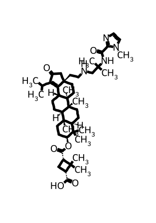 CC(C)C1=C2[C@H]3CC[C@@H]4[C@@]5(C)CC[C@H](OC(=O)[C@H]6C[C@@H](C(=O)O)C6(C)C)C(C)(C)[C@@H]5CC[C@@]4(C)[C@]3(C)CC[C@@]2(CCNCC(C)(C)NC(=O)c2nccn2C)CC1=O